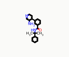 CC(C)(NC(=O)c1cccc(-c2ccncc2N)c1)c1ccccc1